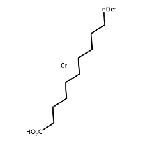 CCCCCCCCCCCCCCCCCC(=O)O.[Cr]